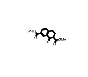 COC(=O)c1ccc2c(c1)C(=O)C(C(=O)OC)CC2